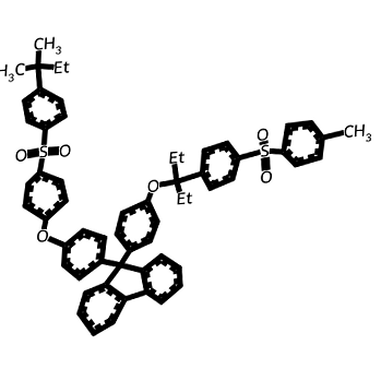 CCC(C)(C)c1ccc(S(=O)(=O)c2ccc(Oc3ccc(C4(c5ccc(OC(CC)(CC)c6ccc(S(=O)(=O)c7ccc(C)cc7)cc6)cc5)c5ccccc5-c5ccccc54)cc3)cc2)cc1